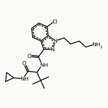 CC(C)(C)C(NC(=O)c1nn(CCCCN)c2c(Cl)cccc12)C(=O)NC1CC1